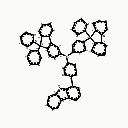 c1ccc(C2(c3ccc(N(c4ccc(-c5cccc6c5sc5ccccc56)cc4)c4ccc5c(c4)-c4ccccc4C5(c4ccccc4)c4ccccc4)cc3)c3ccccc3-c3ccccc32)cc1